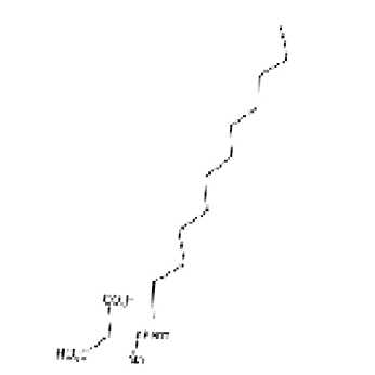 CCCCCCCCCCCC.CCCC[CH2][Na].O=C(O)CC(=O)O